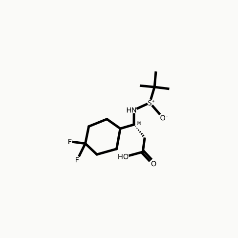 CC(C)(C)[S+]([O-])N[C@H](CC(=O)O)C1CCC(F)(F)CC1